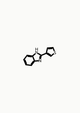 c1ccc2[nH]c(-c3ccsc3)nc2c1